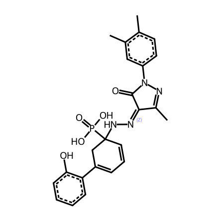 CC1=NN(c2ccc(C)c(C)c2)C(=O)/C1=N\NC1(P(=O)(O)O)C=CC=C(c2ccccc2O)C1